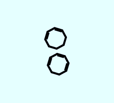 C1=CC=CCCC=C1.C1=CCCCCC=C1